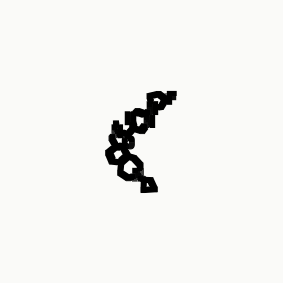 CN(Cc1ccc2c(c1)CCN(C1CCC1)CC2)C(=O)c1cnc(N2CC[C@H](F)C2)cn1